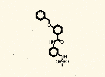 CS(=O)(=O)Nc1cccc(NC(=O)c2cccc(OCc3ccccc3)c2)c1